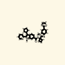 Cn1c(C2(NC(=O)c3ccc4c(C5CCCC5)c(-c5ccccn5)n(C)c4c3)CCC2)nc2ccc(-c3nnco3)cc21